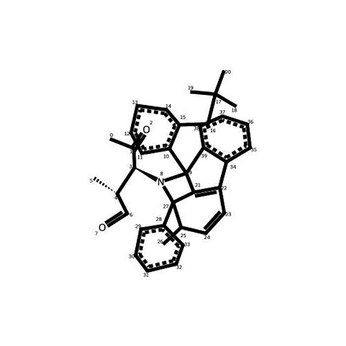 CC(=O)[C@H]([C@@H](C)C=O)N1C2(c3ccccc3CC(C)(C)C)C3=C(C=CC(C)C31c1ccccc1)c1ccccc12